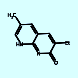 CCc1cc2cc(C)c[nH]c-2nc1=O